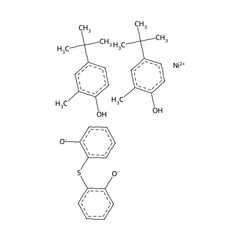 Cc1cc(C(C)(C)C)ccc1O.Cc1cc(C(C)(C)C)ccc1O.[Ni+2].[O-]c1ccccc1Sc1ccccc1[O-]